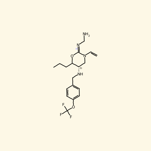 C=CN1C[C@H](NCc2ccc(OC(F)(F)F)cc2)C(CCC)O/C1=N/CN